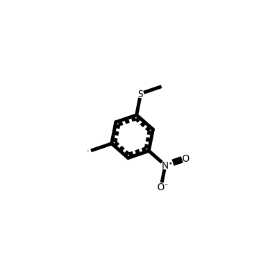 [CH2]c1cc(SC)cc([N+](=O)[O-])c1